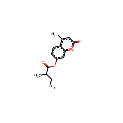 CCC(C)C(=O)Oc1ccc2c(C)cc(=O)oc2c1